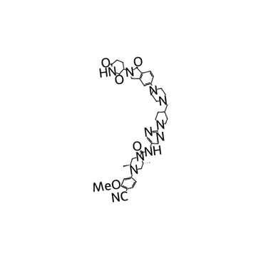 COc1cc(N2C[C@@H](C)N(C(=O)Nc3cnc(N4CCC(CN5CCN(c6ccc7c(c6)CN(C6CCC(=O)NC6=O)C7=O)CC5)CC4)nc3)C[C@@H]2C)ccc1C#N